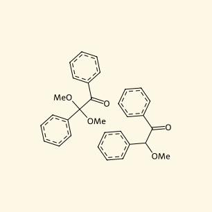 COC(C(=O)c1ccccc1)c1ccccc1.COC(OC)(C(=O)c1ccccc1)c1ccccc1